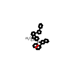 CC1(C)c2cc(N(c3ccccc3)c3cc4ccccc4cc3-c3ccccc3)ccc2-c2c(-c3cccc(-c4ccccc4)c3)cccc21